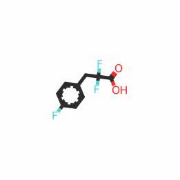 O=C(O)C(F)(F)Cc1ccc(F)cc1